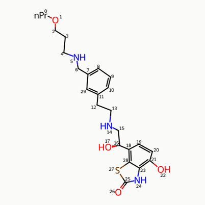 CCCOCCCNCc1cccc(CCNC[C@H](O)c2ccc(O)c3[nH]c(=O)sc23)c1